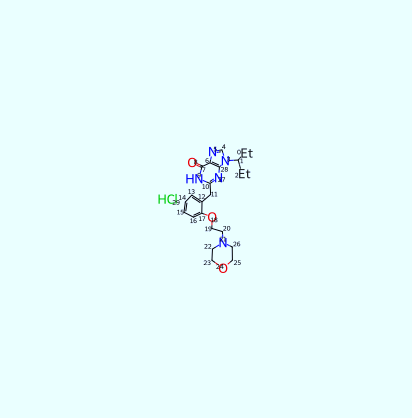 CCC(CC)n1cnc2c(=O)[nH]c(Cc3ccccc3OCCN3CCOCC3)nc21.Cl